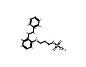 CS(=O)(=O)OCCCOc1ccccc1CCc1ccccc1